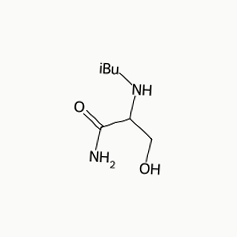 CCC(C)NC(CO)C(N)=O